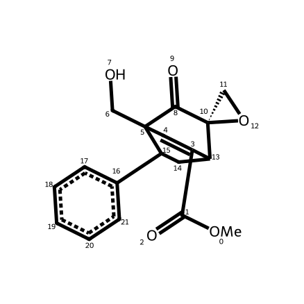 COC(=O)C1=CC2(CO)C(=O)[C@]3(CO3)C1CC2c1ccccc1